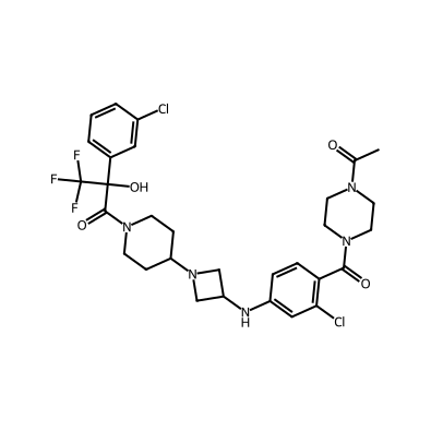 CC(=O)N1CCN(C(=O)c2ccc(NC3CN(C4CCN(C(=O)C(O)(c5cccc(Cl)c5)C(F)(F)F)CC4)C3)cc2Cl)CC1